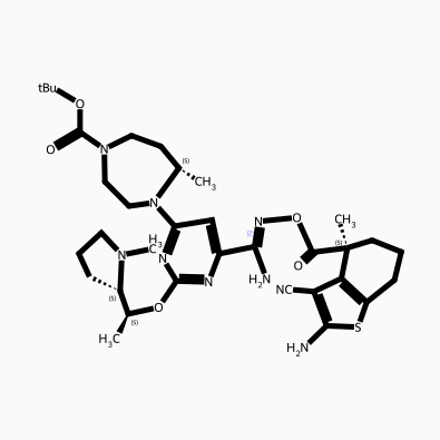 C[C@H](Oc1nc(/C(N)=N/OC(=O)[C@@]2(C)CCCc3sc(N)c(C#N)c32)cc(N2CCN(C(=O)OC(C)(C)C)CC[C@@H]2C)n1)[C@@H]1CCCN1C